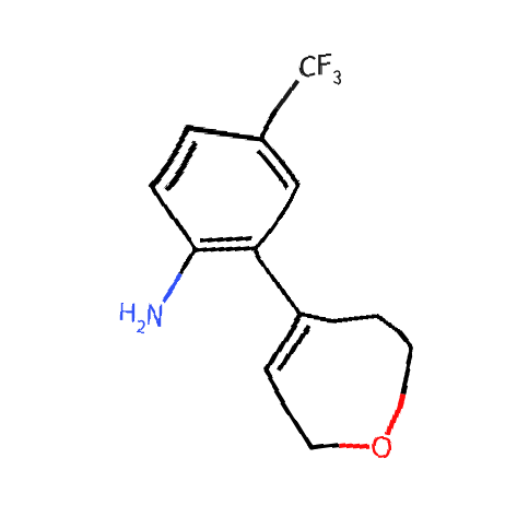 Nc1ccc(C(F)(F)F)cc1C1=CCOCC1